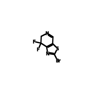 FC1(F)CN=Cc2sc(Br)nc21